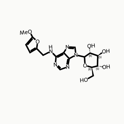 COc1ccc(CNc2ncnc3c2ncn3C2O[C@H](CO)[C@@H](O)[C@H](O)[C@H]2O)o1